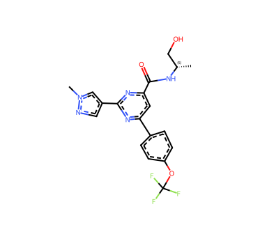 C[C@@H](CO)NC(=O)c1cc(-c2ccc(OC(F)(F)F)cc2)nc(-c2cnn(C)c2)n1